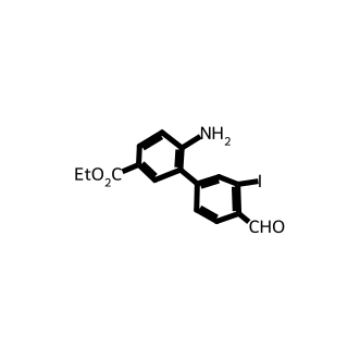 CCOC(=O)c1ccc(N)c(-c2ccc(C=O)c(I)c2)c1